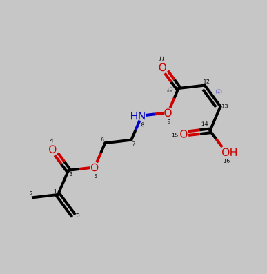 C=C(C)C(=O)OCCNOC(=O)/C=C\C(=O)O